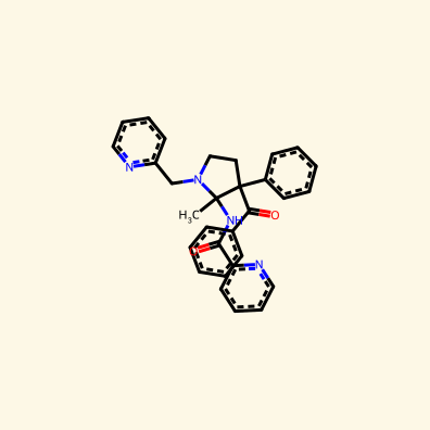 CC1(NC(=O)c2ccccn2)N(Cc2ccccn2)CCC1(C(=O)c1ccccc1)c1ccccc1